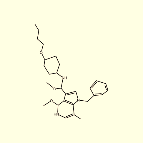 CCCCOC1CCC(NC(OC)c2cn(Cc3ccccc3)c3c2C(OC)NC=C3C)CC1